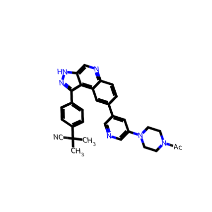 CC(=O)N1CCN(c2cncc(-c3ccc4ncc5[nH]nc(-c6ccc(C(C)(C)C#N)cc6)c5c4c3)c2)CC1